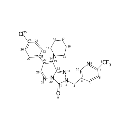 O=c1n(Cc2ccc(C(F)(F)F)nc2)nc2c(N3CCCCC3)c(-c3ccc(Cl)cc3)cnn12